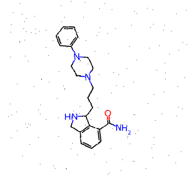 NC(=O)c1cccc2c1C(CCCN1CCN(c3ccccc3)CC1)NC2